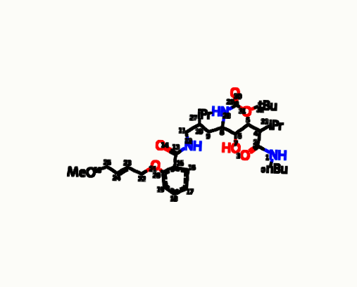 CCCCNC(=O)C(CC(O)C(CC(CNC(=O)c1ccccc1OCC=CCOC)C(C)C)NC(=O)OC(C)(C)C)C(C)C